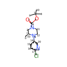 C[C@H]1CN(C(=O)OC(C)(C)C)CCN1c1ccc(Cl)nc1